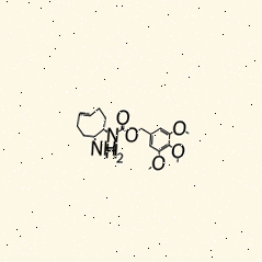 COc1cc(COC(=O)N[C@@H]2CC/C=C/CC[C@@H]2N)cc(OC)c1OC